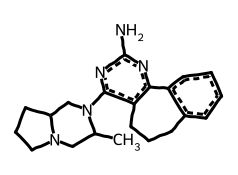 CC1CN2CCCC2CN1c1nc(N)nc2c1CCCc1ccccc1-2